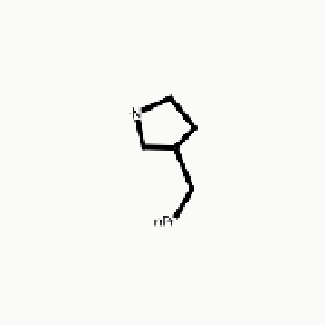 CCCCC1CC[N]C1